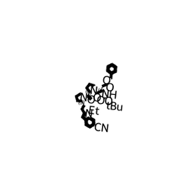 CCn1c(CC[C@@H]2CCCN2C(=O)[C@H]2CCCN2C(=O)[C@H](CC(=O)OCc2ccccc2)NC(=O)OC(C)(C)C)cc2ccc(C#N)cc21